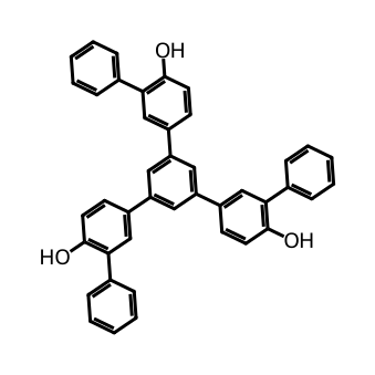 Oc1ccc(-c2cc(-c3ccc(O)c(-c4ccccc4)c3)cc(-c3ccc(O)c(-c4ccccc4)c3)c2)cc1-c1ccccc1